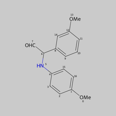 COc1ccc(NC(C=O)c2cccc(OC)c2)cc1